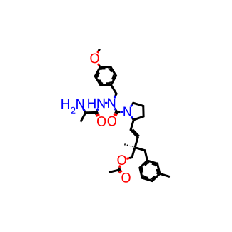 COc1ccc(CN(NC(=O)C(C)N)C(=O)N2CCCC2/C=C/[C@](C)(COC(C)=O)Cc2cccc(C)c2)cc1